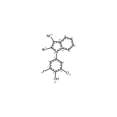 N#Cc1c(Br)n(-c2cc(F)c(O)c(Cl)c2)c2ccccc12